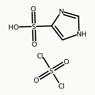 O=S(=O)(Cl)Cl.O=S(=O)(O)c1c[nH]cn1